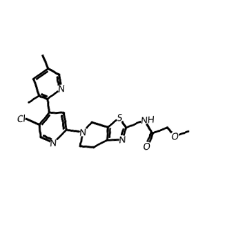 COCC(=O)Nc1nc2c(s1)CN(c1cc(-c3ncc(C)cc3C)c(Cl)cn1)CC2